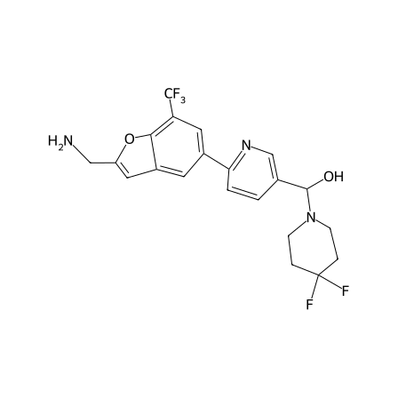 NCc1cc2cc(-c3ccc(C(O)N4CCC(F)(F)CC4)cn3)cc(C(F)(F)F)c2o1